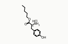 CCCCCOC(=O)[C@@H](N)Cc1ccc(O)cc1.Cl